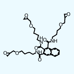 O=C(NCCCCOCC1CO1)c1cc2ccccc2c(C(=O)NCCCCOCC2CO2)c1C(=O)NCCCCOCC1CO1